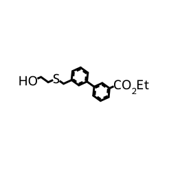 CCOC(=O)c1cccc(-c2cccc(CSCCO)c2)c1